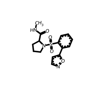 CNC(=O)C1CCCN1S(=O)(=O)c1ccccc1-c1ccno1